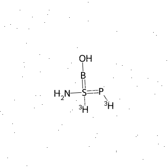 [3H]P=S([3H])(N)=BO